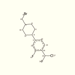 Fc1cc(C2CCC(CBr)CC2)ccc1C(F)Cl